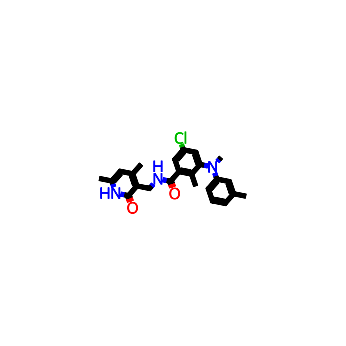 Cc1cccc(N(C)c2cc(Cl)cc(C(=O)NCc3c(C)cc(C)[nH]c3=O)c2C)c1